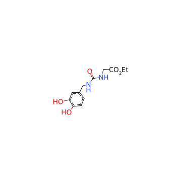 CCOC(=O)CNC(=O)NCc1ccc(O)c(O)c1